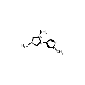 CN1C[C@H](c2cnn(C)c2)[C@@H](N)C1